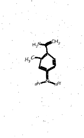 C=C(N)c1ccc(N(CCC)CCC)cc1C